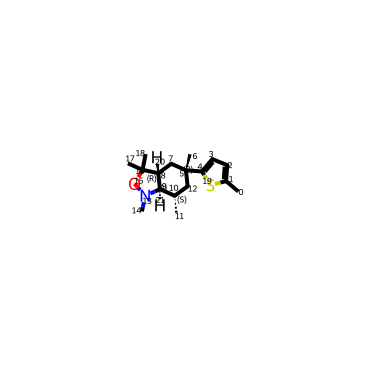 Cc1ccc([C@@]2(C)C[C@@H]3[C@@H]([C@@H](C)C2)N(C)OC3(C)C)s1